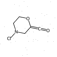 O=C=C1CN(Cl)CCO1